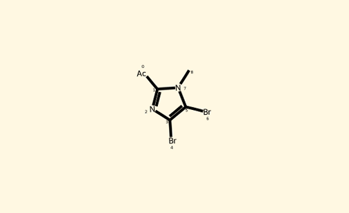 CC(=O)c1nc(Br)c(Br)n1C